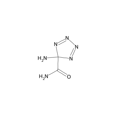 NC(=O)C1(N)N=NN=N1